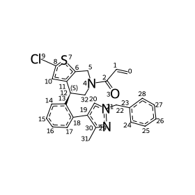 C=CC(=O)N1Cc2sc(Cl)cc2[C@H](c2ccccc2-c2cn(Cc3ccccc3)nc2C)C1